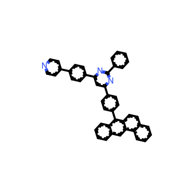 c1ccc(-c2nc(-c3ccc(-c4ccncc4)cc3)cc(-c3ccc(-c4c5ccccc5cc5c4ccc4ccccc45)cc3)n2)cc1